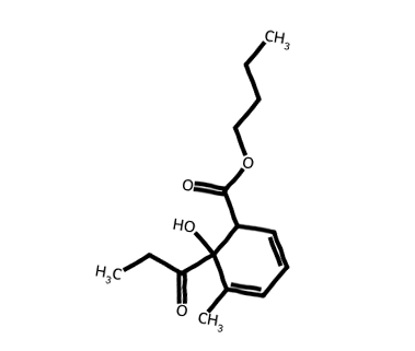 CCCCOC(=O)C1C=CC=C(C)C1(O)C(=O)CC